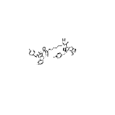 C=C(NCCCCCCNC(=O)c1nn(Cc2ccc(C)cc2)c2c1Cc1ccsc1-2)c1nn(Cc2ccc(C)cc2)c2c1Cc1ccsc1-2